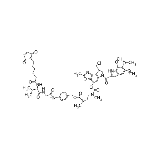 COc1cc2cc(C(=O)N3CC(CCl)c4c3cc(OC(=O)N(C)CCN(C)C(=O)OCc3ccc(NC(=O)CNC(=O)[C@H](NC(=O)CCCCCN5C(=O)C=CC5=O)C(C)C)cc3)c3oc(C)nc43)[nH]c2c(OC)c1OC